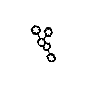 [c]1ccccc1-c1c(-c2ccccc2)ccc2cc(-c3ccccc3)ccc12